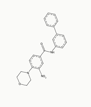 O=C(Nc1cccc(-c2ccccc2)c1)c1ccc(N2CCOCC2)c([N+](=O)[O-])c1